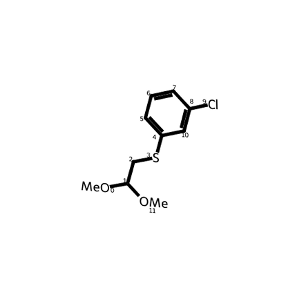 COC(CSc1cccc(Cl)c1)OC